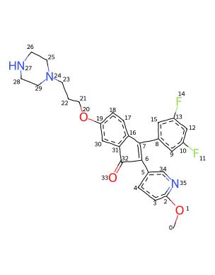 COc1ccc(C2=C(c3cc(F)cc(F)c3)c3ccc(OCCCN4CCNCC4)cc3C2=O)cn1